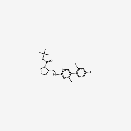 Cc1nc(NC[C@@H]2CCCN2C(=O)OC(C)(C)C)ncc1-c1ccc(F)cc1F